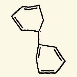 C1=CC[C](c2ccccc2)C=C1